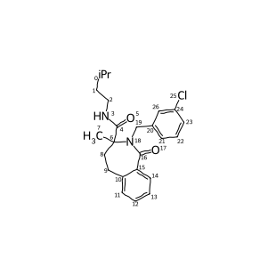 CC(C)CCNC(=O)C1(C)CCc2ccccc2C(=O)N1Cc1cccc(Cl)c1